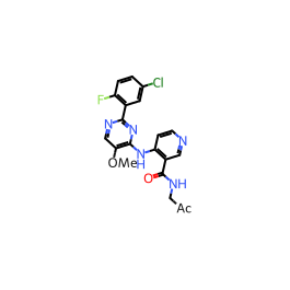 COc1cnc(-c2cc(Cl)ccc2F)nc1Nc1ccncc1C(=O)NCC(C)=O